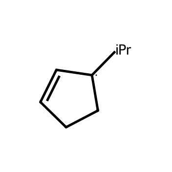 CC(C)[C]1C=CCC1